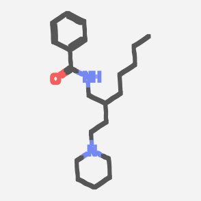 CCCCCC(CCN1CCCCC1)CNC(=O)c1ccccc1